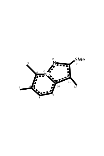 CSc1nn2c(C)c(C)ccc2c1C